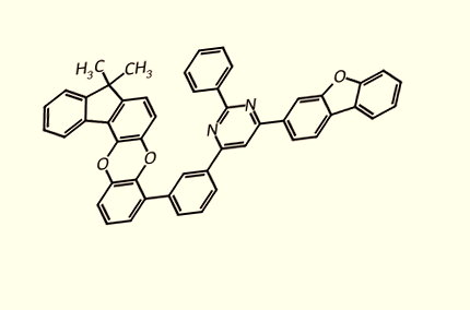 CC1(C)c2ccccc2-c2c1ccc1c2Oc2cccc(-c3cccc(-c4cc(-c5ccc6c(c5)oc5ccccc56)nc(-c5ccccc5)n4)c3)c2O1